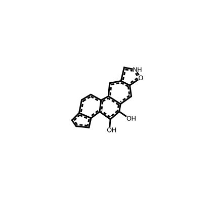 Oc1c(O)c2c3cccc3ccc2c2cc3c[nH]oc3cc12